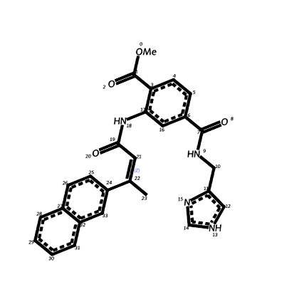 COC(=O)c1ccc(C(=O)NCc2c[nH]cn2)cc1NC(=O)/C=C(/C)c1ccc2ccccc2c1